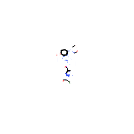 COc1ccc(N2CCOCC2)c2nc(NC(=O)c3cnn(C(CO)CCl)c3)[nH]c12